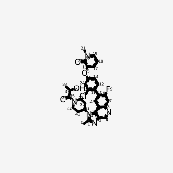 Cc1nc2cnc3cc(F)c(-c4ccc(Oc5cccn(C)c5=O)cc4Cl)cc3c2n1C1CCN(C(=O)C(C)O)CC1